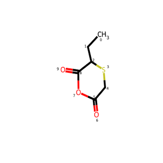 CCC1SCC(=O)OC1=O